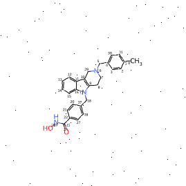 Cc1ccc(CN2CCc3c(c4ccccc4n3Cc3ccc(C(=O)NO)cc3)C2)cc1